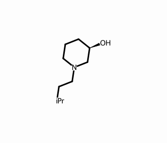 CC(C)CCN1CCC[C@@H](O)C1